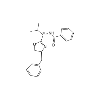 CC(C)[C@H](NC(=O)c1ccccc1)C1=NC(Cc2ccccc2)CO1